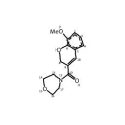 COc1cccc2c1OCC(C(=O)N1CCOCC1)=C2